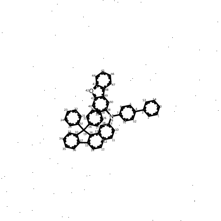 c1ccc(-c2ccc(N(c3ccc4ccc5c(c4c3)C(c3ccccc3)(c3ccccc3)c3ccccc3-5)c3ccc4oc5ccccc5c4c3)cc2)cc1